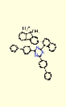 CC1(C)c2ccccc2-c2ccc(-c3ccc4ccccc4c3-c3nc(-c4ccc(-c5ccccc5)cc4)nc(-c4ccc(-c5ccccc5)cc4)n3)cc21